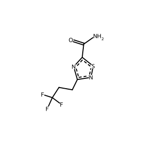 NC(=O)c1nc(CCC(F)(F)F)ns1